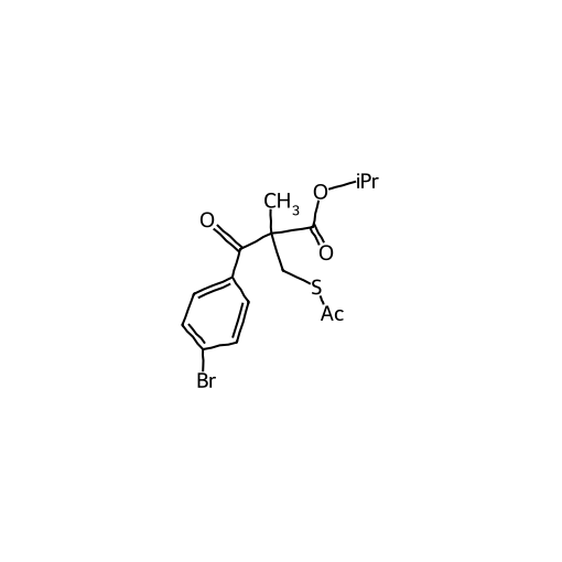 CC(=O)SCC(C)(C(=O)OC(C)C)C(=O)c1ccc(Br)cc1